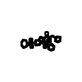 O=C(NCc1ccccc1)c1cc2cc(S(=O)(=O)N3CCCCCC3)ccc2n1S(=O)(=O)c1ccccc1